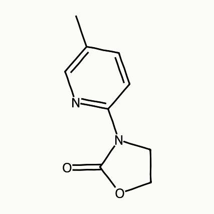 Cc1ccc(N2CCOC2=O)nc1